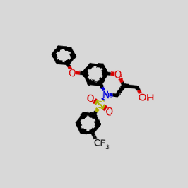 O=S(=O)(c1cccc(C(F)(F)F)c1)N1CC(CO)Oc2ccc(Oc3ccccc3)cc21